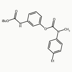 CCc1ccc(N(C)C(=O)Oc2cccc(NC(=O)OCC(C)C)c2)cc1